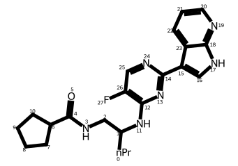 CCCC(CNC(=O)C1CCCC1)Nc1nc(-c2c[nH]c3ncccc23)ncc1F